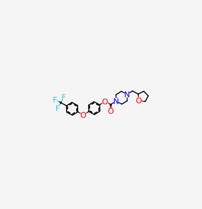 O=C(Oc1ccc(Oc2ccc(C(F)(F)F)cc2)cc1)N1CCN(CC2CCCO2)CC1